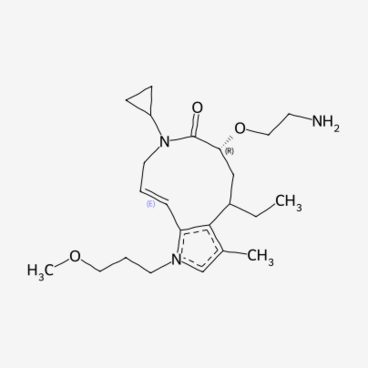 CCC1C[C@@H](OCCN)C(=O)N(C2CC2)C/C=C/c2c1c(C)cn2CCCOC